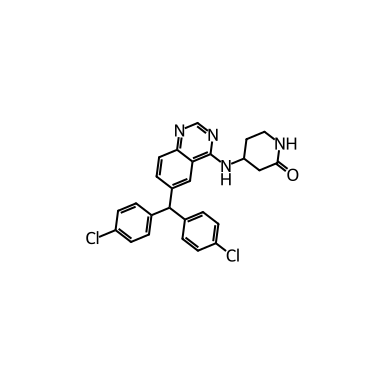 O=C1CC(Nc2ncnc3ccc(C(c4ccc(Cl)cc4)c4ccc(Cl)cc4)cc23)CCN1